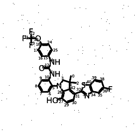 CC1(C)CN(c2ccccc2NC(=O)Nc2ccc(OC(F)(F)F)cc2)c2c(O)ccc(-c3nc4cc(F)ccc4s3)c21